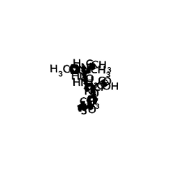 CS(=O)(=O)O.Cc1ccc(-n2nc(C(C)(C)C)cc2NC(=O)Nc2cnc(OC3CCN(C(=O)c4sccc4C)CC3)c(Cl)c2)cc1